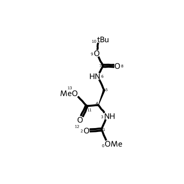 COC(=O)N[C@H](CNC(=O)OC(C)(C)C)C(=O)OC